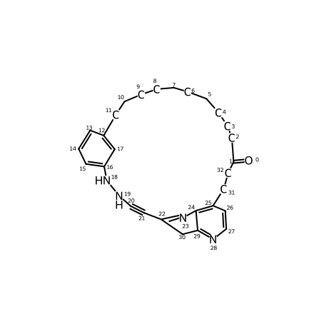 O=C1CCCCCCCCCCc2cccc(c2)NNC#CC2=Nc3c(ccnc3C2)CC1